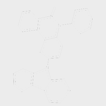 O=c1c2ccccc2c2cc(-n3c4ccccc4c4ccccc43)ccc2n1-c1ccccc1